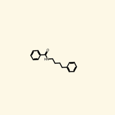 O=C(NCCCCc1ccccc1)c1c[c]ccc1